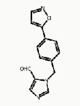 O=Cc1cncn1Cc1ccc(-c2ccno2)cc1